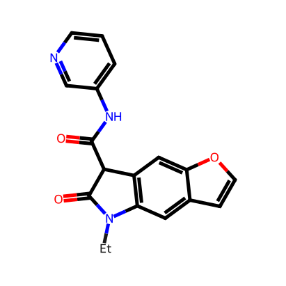 CCN1C(=O)C(C(=O)Nc2cccnc2)c2cc3occc3cc21